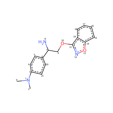 CN(C)c1ccc(C(N)COc2noc3ccccc23)cc1